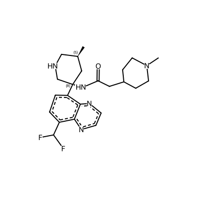 C[C@@H]1CNC[C@](NC(=O)CC2CCN(C)CC2)(c2ccc(C(F)F)c3nccnc23)C1